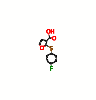 O=C(O)c1ccoc1Sc1ccc(F)cc1